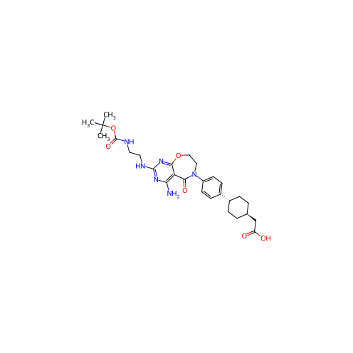 CC(C)(C)OC(=O)NCCNc1nc(N)c2c(n1)OCCN(c1ccc([C@H]3CC[C@H](CC(=O)O)CC3)cc1)C2=O